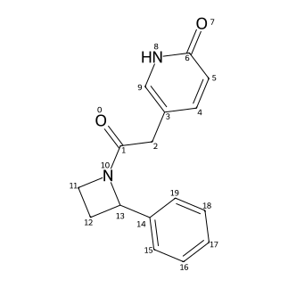 O=C(Cc1ccc(=O)[nH]c1)N1CCC1c1ccccc1